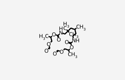 CC(CCNC(=O)OC(C)COC=O)CC(C)(C)CNC(=O)OC(C)COC=O